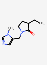 CCC1CCN(Cc2cncn2C)C1=O